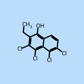 CCc1c(Cl)c(Cl)c2c(Cl)c(Cl)ccc2c1O